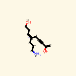 C=C(O)C#CC/C(=C\CCO)CCCN